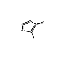 CC1=C(F)C=N[N]1